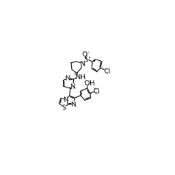 [O-][S+](c1ccc(Cl)cc1)N1CCC[C@@H](Nc2nccc(-c3c(-c4ccc(Cl)c(O)c4)nc4sccn34)n2)C1